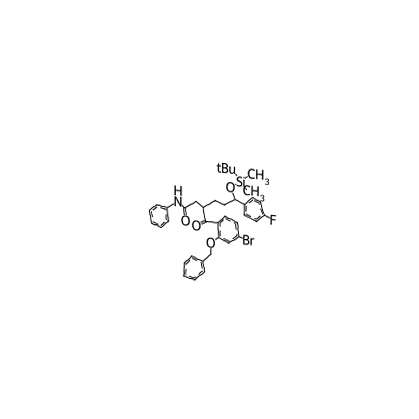 CC(C)(C)[Si](C)(C)OC(CCC(CC(=O)Nc1ccccc1)C(=O)c1ccc(Br)cc1OCc1ccccc1)c1ccc(F)cc1